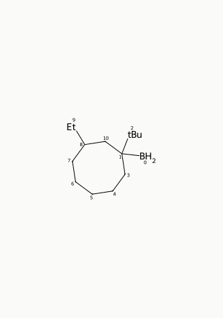 BC1(C(C)(C)C)CCCCCC(CC)C1